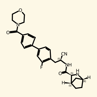 N#C[C@H](Cc1ccc(-c2ccc(C(=O)N3CCOCC3)cc2)cc1F)NC(=O)[C@H]1N[C@@H]2CC[C@H]1C2